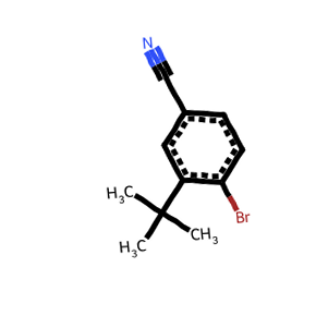 CC(C)(C)c1cc(C#N)ccc1Br